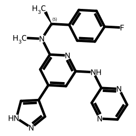 C[C@@H](c1ccc(F)cc1)N(C)c1cc(-c2cn[nH]c2)cc(Nc2cnccn2)n1